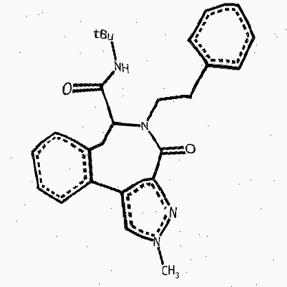 Cn1cc2c(n1)C(=O)N(CCc1ccccc1)C(C(=O)NC(C)(C)C)c1ccccc1-2